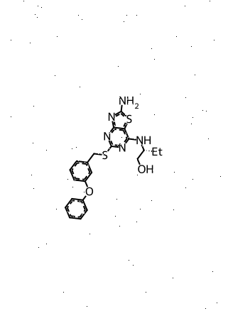 CC[C@H](CO)Nc1nc(SCc2cccc(Oc3ccccc3)c2)nc2nc(N)sc12